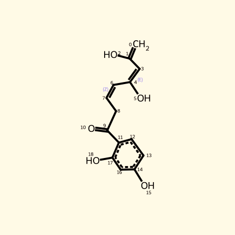 C=C(O)/C=C(O)\C=C/CC(=O)c1ccc(O)cc1O